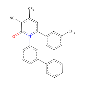 Cc1cccc(-c2cc(C(F)(F)F)c(C#N)c(=O)n2-c2cccc(-c3ccccc3)c2)c1